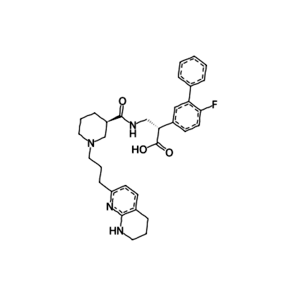 O=C(NC[C@@H](C(=O)O)c1ccc(F)c(-c2ccccc2)c1)[C@@H]1CCCN(CCCc2ccc3c(n2)NCCC3)C1